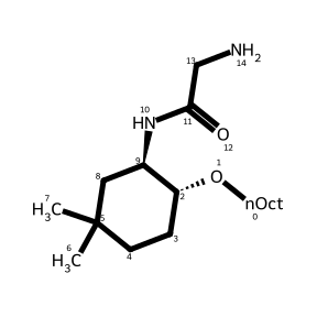 CCCCCCCCO[C@@H]1CCC(C)(C)C[C@H]1NC(=O)CN